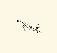 C=CCOC(=O)c1ccc(OC(=O)c2ccc(OC)c(C34CC5CC(CC(C5)C3)C4)c2)cc1C